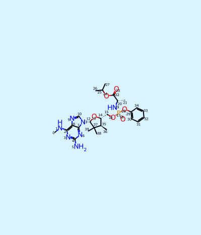 CNc1nc(N)nc2c1ncn2[C@@H]1O[C@H](CO[P@@](=O)(N[C@@H](C)C(=O)OC(C)C)Oc2ccccc2)[C@@H](C)C1(C)C